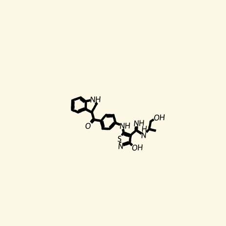 CC(CO)NC(=N)c1c(O)nsc1Nc1ccc(C(=O)C2CNc3ccccc32)cc1